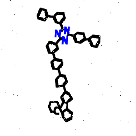 c1ccc(-c2ccc(-c3nc(-c4cccc(-c5ccccc5)c4)nc(-c4cccc(-c5ccc(-c6ccc(-c7ccc8c(c7)C7(CCCCC7)c7ccccc7-8)cc6)cc5)c4)n3)cc2)cc1